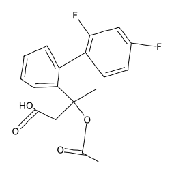 CC(=O)OC(C)(CC(=O)O)c1ccccc1-c1ccc(F)cc1F